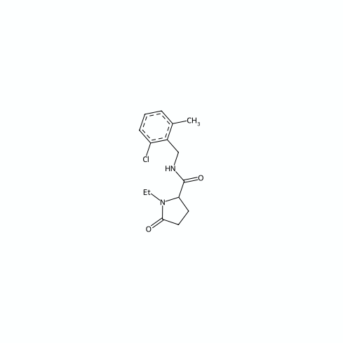 CCN1C(=O)CCC1C(=O)NCc1c(C)cccc1Cl